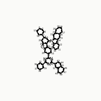 c1ccc(-c2cc(-n3c4ccccc4c4cc5ccccc5cc43)c3c(c2)oc2cc(-c4nc(-c5ccccc5)nc(-c5ccc6ccccc6c5)n4)ccc23)cc1